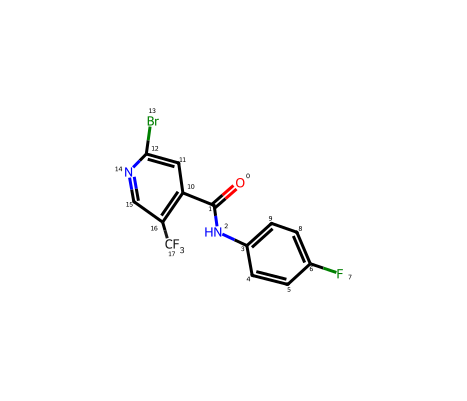 O=C(Nc1ccc(F)cc1)c1cc(Br)ncc1C(F)(F)F